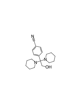 N#Cc1ccc(C(CO)(N2CCCCC2)N2CCCCC2)cc1